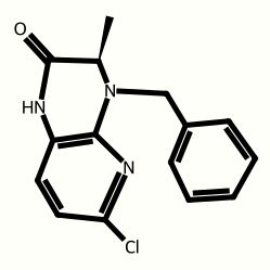 C[C@@H]1C(=O)Nc2ccc(Cl)nc2N1Cc1ccccc1